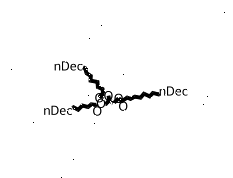 CCCCCCCCCCCCCCCCCCC(=O)OC[C@@H](COC(=O)CCCCCCCCCCCCCCC)OC(=O)CCCCCCCCCCCCCCCCC